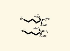 CO[Si](C)(CCCS)OC.CO[Si](CCCS)(OC)OC